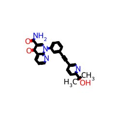 CC(C)(O)c1ccc(C#Cc2cccc(-n3cc(C(N)=O)c(=O)c4cccnc43)c2)cn1